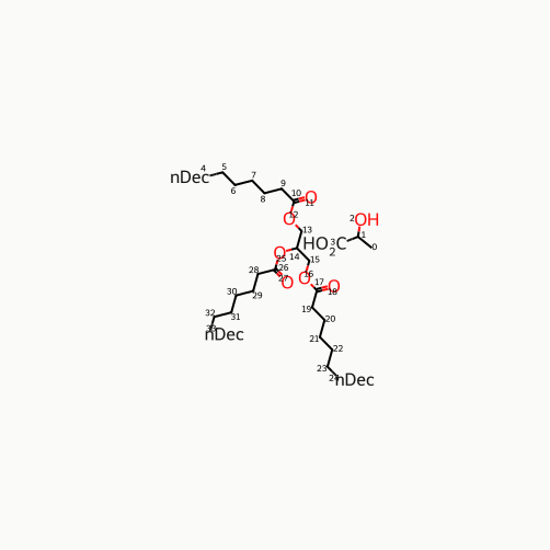 CC(O)C(=O)O.CCCCCCCCCCCCCCCC(=O)OCC(COC(=O)CCCCCCCCCCCCCCC)OC(=O)CCCCCCCCCCCCCCC